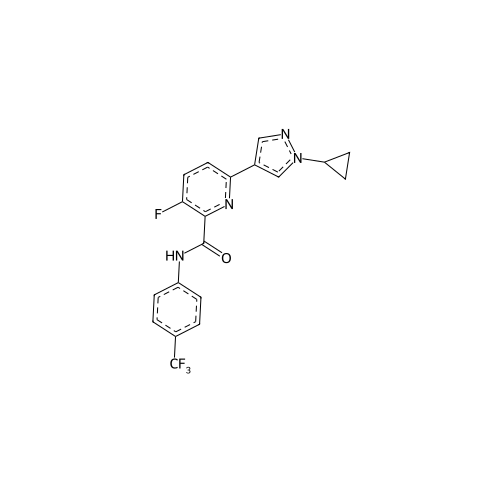 O=C(Nc1ccc(C(F)(F)F)cc1)c1nc(-c2cnn(C3CC3)c2)ccc1F